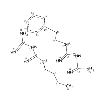 CCCCNC(=N)NC(=N)N.N=C(N)NC(=N)NCCc1ccccc1